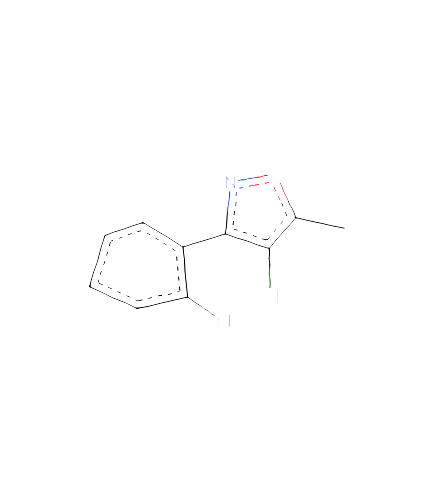 Cc1onc(-c2ccccc2Cl)c1Cl